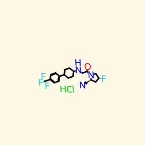 Cl.N#C[C@@H]1C[C@H](F)CN1C(=O)CNC1CCC(c2ccc(C(F)(F)F)cc2)CC1